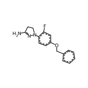 NC1=NN(c2ccc(OCc3ccccc3)cc2F)CC1